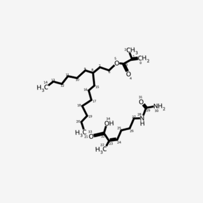 C=C(C)C(=O)OCCC(CCCCCC)CCCCCCC.CC(=CCCCNC(N)=O)C(=O)O